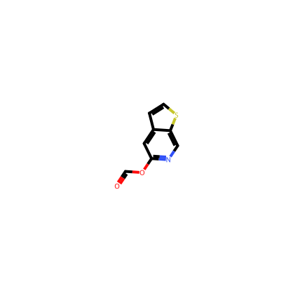 O=COc1cc2ccsc2cn1